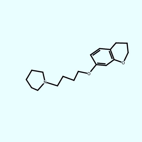 c1cc2c(cc1OCCCCN1CCCCC1)OCCC2